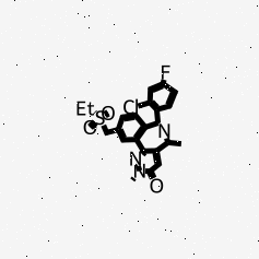 CCS(=O)(=O)Cc1ccc2c(c1)-c1nn(C)c(=O)cc1C(C)N=C2c1ccc(F)cc1Cl